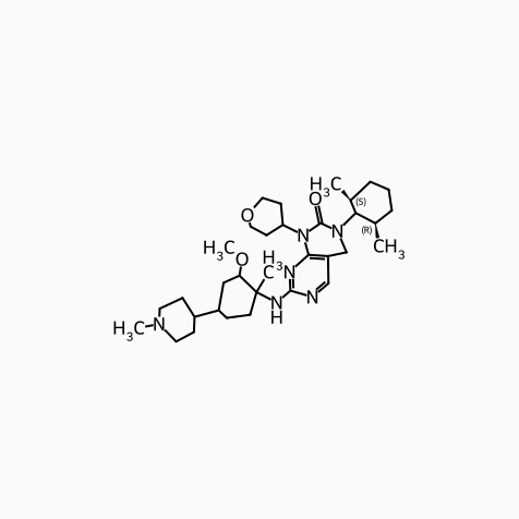 COC1CC(C2CCN(C)CC2)CCC1(C)Nc1ncc2c(n1)N(C1CCOCC1)C(=O)N(C1[C@H](C)CCC[C@@H]1C)C2